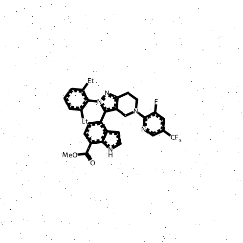 CCc1cccc(CC)c1-n1nc2c(c1-c1ccc(C(=O)OC)c3[nH]ccc13)CN(c1ncc(C(F)(F)F)cc1F)CC2